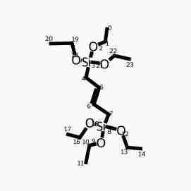 CCO[Si](C/C=C/C[Si](OCC)(OCC)OCC)(OCC)OCC